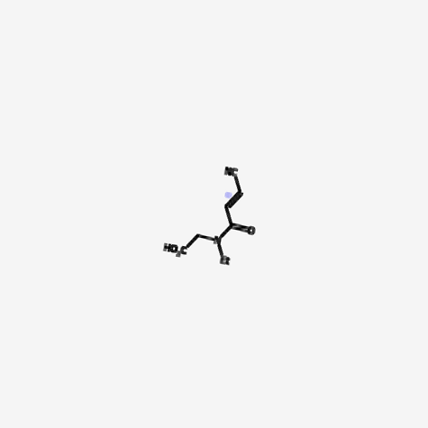 CCN(CC(=O)O)C(=O)/C=C/C#N